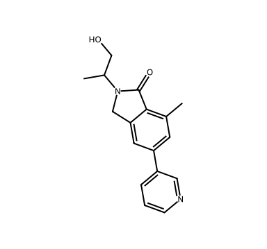 Cc1cc(-c2cccnc2)cc2c1C(=O)N(C(C)CO)C2